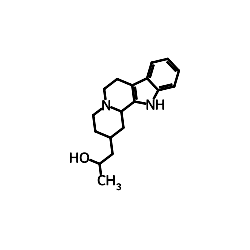 CC(O)CC1CCN2CCc3c([nH]c4ccccc34)C2C1